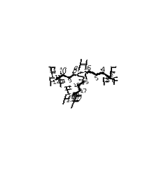 FC(F)(F)CCC[SiH](CCCC(F)(F)F)CCCC(F)(F)F